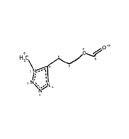 Cn1nnnc1CCO[C]=O